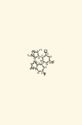 Cc1nn(C)c(-n2cnc3cc(F)ccc32)c1-c1ccc(F)cc1Cl